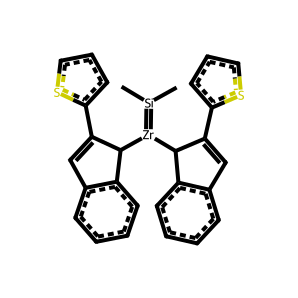 C[Si](C)=[Zr]([CH]1C(c2cccs2)=Cc2ccccc21)[CH]1C(c2cccs2)=Cc2ccccc21